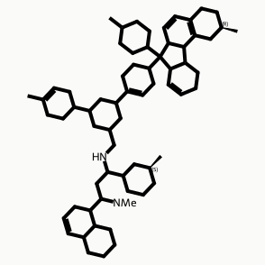 CNC(CC(NCC1CC(C2=CCC(C3(C4CCC(C)CC4)C4C=CCCC4C4C5=C(C=CC43)CC[C@@H](C)C5)CC2)CC(C2CC=C(C)CC2)C1)C1CCC[C@H](C)C1)C1CC=CC2CCCCC21